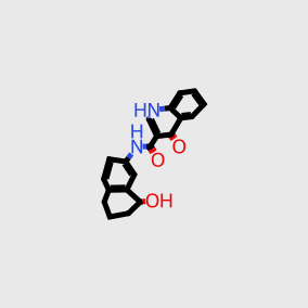 O=C(Nc1ccc2c(c1)C(O)CCC2)c1c[nH]c2ccccc2c1=O